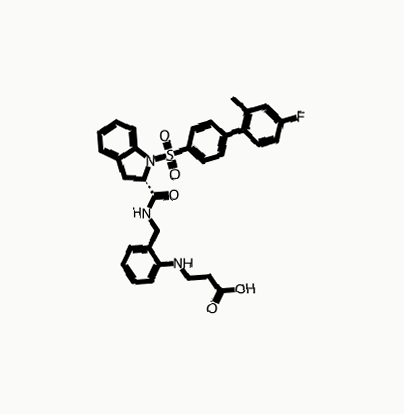 Cc1cc(F)ccc1-c1ccc(S(=O)(=O)N2c3ccccc3C[C@H]2C(=O)NCc2ccccc2NCCC(=O)O)cc1